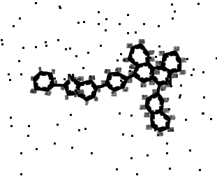 c1ccc(-c2cn3ccc(-c4ccc(-c5cc6c(-c7ccc8ccccc8c7)nc7ccccc7c6c6ccccc56)cc4)cc3n2)cc1